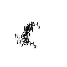 CC1=C[C@H]2CN(C1)C(=O)N2O[C@H](F)C(=O)OC(C)OC(=O)OC(C)C